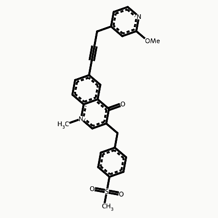 COc1cc(CC#Cc2ccc3c(c2)c(=O)c(Cc2ccc(S(C)(=O)=O)cc2)cn3C)ccn1